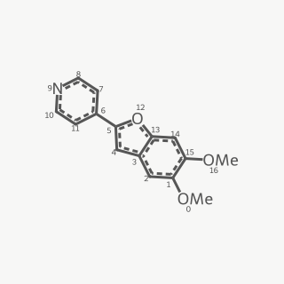 COc1cc2cc(-c3ccncc3)oc2cc1OC